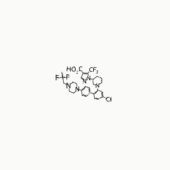 CC(F)(F)CN1CCN(c2ccc(-c3ccc(Cl)cc3N3CCCC(n4ncc(C(=O)O)c4C(F)(F)F)C3)cc2)CC1